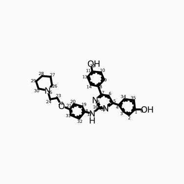 Oc1ccc(-c2cc(-c3ccc(O)cc3)nc(Nc3ccc(OCCN4CCCCC4)cc3)n2)cc1